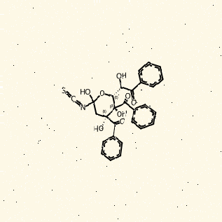 O=C(c1ccccc1)C(O)[C@H]1OC(O)(N=C=S)C[C@](O)(C(=O)c2ccccc2)[C@@]1(O)C(=O)c1ccccc1